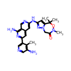 Cc1c(N)cncc1-c1cc2cc(Nc3cc4n(n3)CC(=O)N(C)OC4(C)C)ncc2c(N)n1